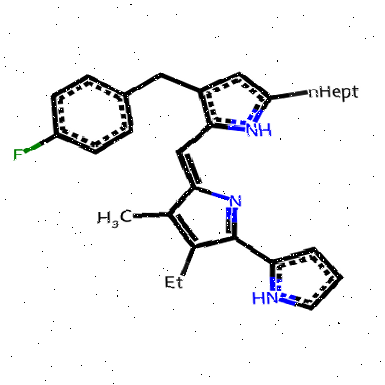 CCCCCCCc1cc(Cc2ccc(F)cc2)c(/C=C2\N=C(c3ccc[nH]3)C(CC)=C2C)[nH]1